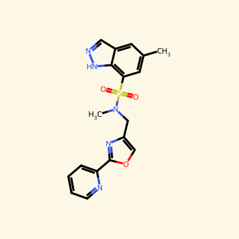 Cc1cc(S(=O)(=O)N(C)Cc2coc(-c3ccccn3)n2)c2[nH]ncc2c1